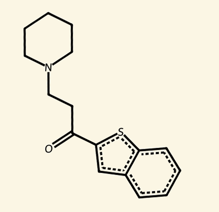 O=C(CCN1CCCCC1)c1cc2ccccc2s1